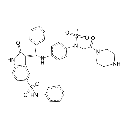 CS(=O)(=O)N(CC(=O)N1CCNCC1)c1ccc(NC(=C2C(=O)Nc3ccc(S(=O)(=O)Nc4ccccc4)cc32)c2ccccc2)cc1